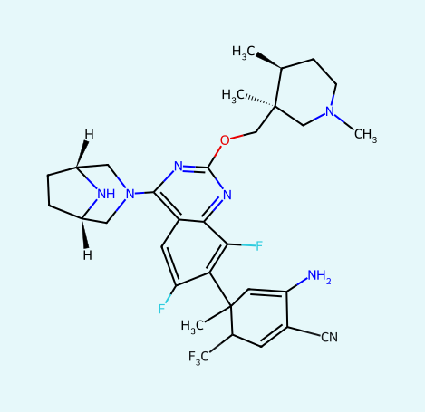 C[C@H]1CCN(C)C[C@@]1(C)COc1nc(N2C[C@H]3CC[C@@H](C2)N3)c2cc(F)c(C3(C)C=C(N)C(C#N)=CC3C(F)(F)F)c(F)c2n1